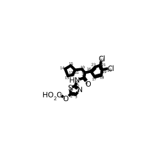 O=C(O)Oc1cnc(NC(=O)C(CC2CCCC2)c2ccc(Cl)c(Cl)c2)s1